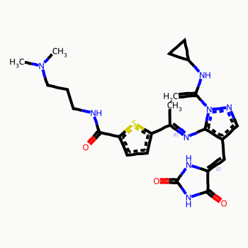 C=C(NC1CC1)n1ncc(/C=C2\NC(=O)NC2=O)c1/N=C(\C)c1ccc(C(=O)NCCCN(C)C)s1